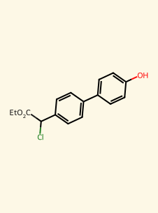 CCOC(=O)C(Cl)c1ccc(-c2ccc(O)cc2)cc1